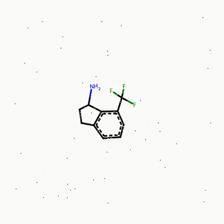 NC1CCc2cccc(C(F)(F)F)c21